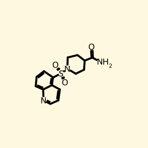 NC(=O)C1CCN(S(=O)(=O)c2cccc3ncccc23)CC1